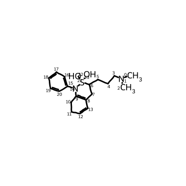 CN(C)CCCC1CC2=C(CCC=C2)N(c2ccccc2)S1(O)O